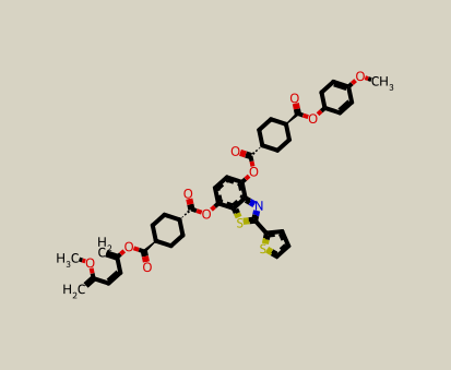 C=C(/C=C\C(=C)OC(=O)[C@H]1CC[C@H](C(=O)Oc2ccc(OC(=O)[C@H]3CC[C@H](C(=O)OC4C=CC(OC)=CC4)CC3)c3nc(-c4cccs4)sc23)CC1)OC